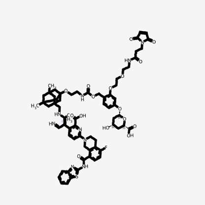 C/C(NCC12CC3(C)CC(C)(C1)CC(OCCNC(=O)OCc1ccc(O[C@H]4C[C@@H](O)C[C@@H](C(=O)O)O4)cc1OCCOCCNC(=O)CCN1C(=O)C=CC1=O)(C3)C2)=C(/C=N)c1ccc(N2CCc3c(F)ccc(C(=O)Nc4nc5ccccc5s4)c3C2)nc1C(=O)O